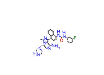 Cc1nc(-c2ccc(NC(=O)Nc3cccc(F)c3)c3ccccc23)c2c(N)ncc(CN3CCNCC3)n12